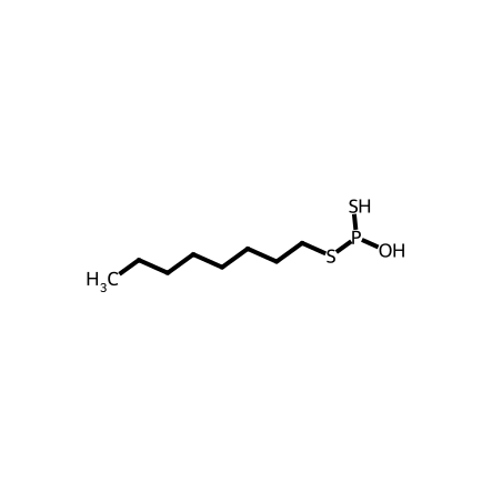 CCCCCCCCSP(O)S